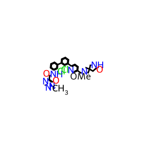 COc1nc(-c2cccc(-c3cccc(NC(=O)c4ncnn(C)c4=O)c3Cl)c2Cl)ccc1CN1CC2(CNC(=O)C2)C1